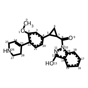 COc1cc(C2CC2C(=O)n2nc(O)c3ccccc32)ccc1C1=CCNCC1